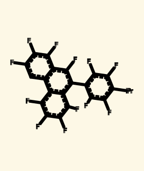 CC(C)c1c(F)c(F)c(-c2c(F)c3c(F)c(F)c(F)cc3c3c(F)c(F)c(F)c(F)c23)c(F)c1F